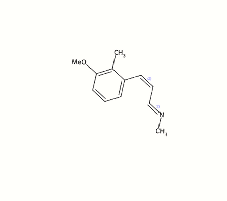 C/N=C/C=C\c1cccc(OC)c1C